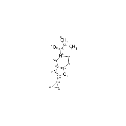 CC(C)C(=O)N1CCc2oc(C3CC3)nc2C1